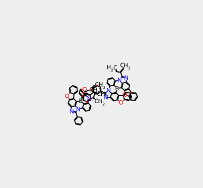 C=C/C(=C\C)c1nc2cc3c(oc4ccccc43)c3c2n1-c1cccc2c1B3c1c3c(cc4nc(-c5cccc(-c6cccc7c6oc6cc(C)c8c(c67)B6c7c(cccc7-n7c(-c9ccccc9)nc9cc%10oc%11ccccc%11c%10c6c97)N8C(=C)C(=C)/C=C\C)c5)n-2c14)oc1ccccc13